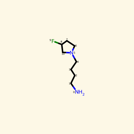 NCCCCN1CCC(F)C1